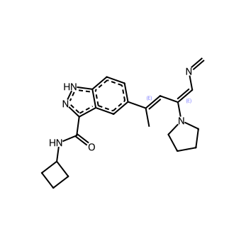 C=N/C=C(\C=C(/C)c1ccc2[nH]nc(C(=O)NC3CCC3)c2c1)N1CCCC1